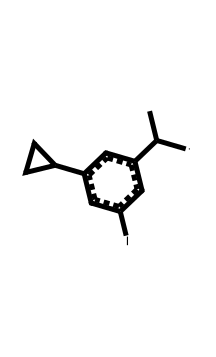 [CH2]C(C)c1cc(I)cc(C2CC2)c1